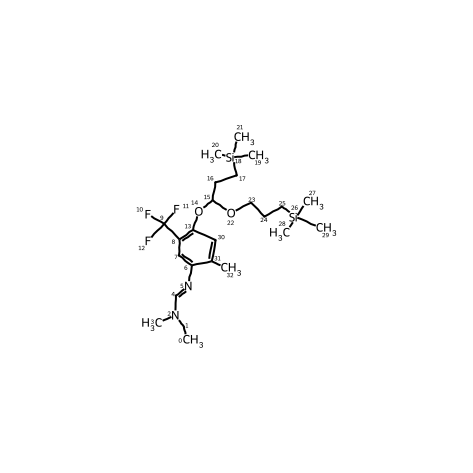 CCN(C)C=Nc1cc(C(F)(F)F)c(OC(CC[Si](C)(C)C)OCCC[Si](C)(C)C)cc1C